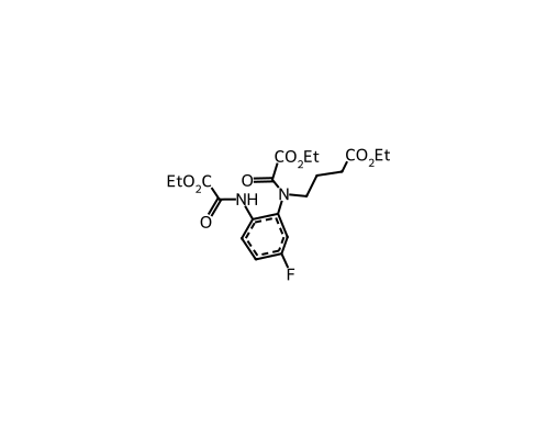 CCOC(=O)CCCN(C(=O)C(=O)OCC)c1cc(F)ccc1NC(=O)C(=O)OCC